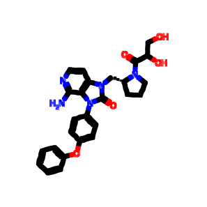 Nc1nccc2c1n(-c1ccc(Oc3ccccc3)cc1)c(=O)n2C[C@H]1CCCN1C(=O)C(O)CO